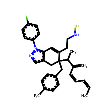 C=C(/C=C\C=C/C)C(C)C1(Cc2ccc(C(F)(F)F)cc2)Cc2cnn(-c3ccc(F)cc3)c2C=C1CCNS